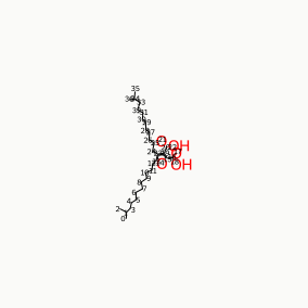 CC(C)CCCCCCCCCCc1oc(C(=O)O)c(C(=O)O)c1CCCCCCCCCCC(C)C